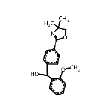 COc1ccccc1C(O)c1ccc(C2=NC(C)(C)CO2)cc1